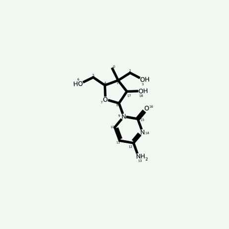 CC1(CO)C(CO)OC(n2ccc(N)nc2=O)C1O